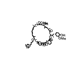 CO[C@@H]1C[C@H](C[C@@H](C)[C@@H]2CC(=O)[C@H](C)/C=C(\C)[C@@H](O)[C@@H](OC)C(=O)[C@H](C)C[C@H](C)/C=C/C=C/C=C(\C)[C@H](OCCCn3cnnc3)C[C@@H]3CC[C@@H](C)[C@@](O)(O3)C(=O)C(=O)N3CCCC[C@H]3C(=O)O2)CC[C@H]1O